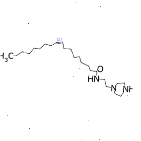 CCCCCCCC/C=C\CCCCCCCC(=O)NCCN1CCNCC1